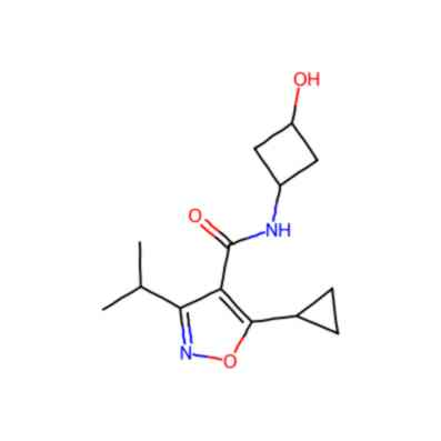 CC(C)c1noc(C2CC2)c1C(=O)NC1CC(O)C1